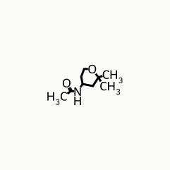 CC(=O)NC1CCOC(C)(C)C1